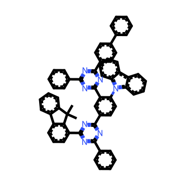 CC1(C)c2ccccc2-c2cccc(-c3nc(-c4ccccc4)nc(-c4ccc(-n5c6ccccc6c6ccccc65)c(-c5nc(-c6ccccc6)nc(-c6ccc(-c7ccccc7)cc6)n5)c4)n3)c21